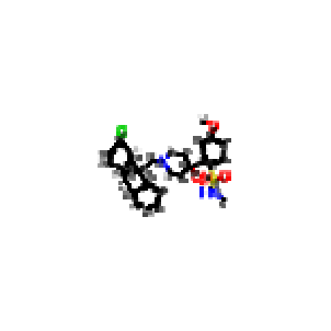 CNS(=O)(=O)c1ccc(OC)cc1C1(O)CCN(CC23CC(c4ccccc42)c2ccc(Cl)cc23)CC1